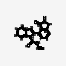 CC(C)(C)OC(=O)n1c(-c2cccc3c2C(=O)NC3)cc2ccccc21